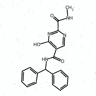 [CH2]NC(=O)c1ncc(C(=O)NC(c2ccccc2)c2ccccc2)c(O)n1